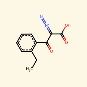 CCc1ccccc1C(=O)C(=[N+]=[N-])C(=O)O